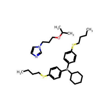 CC(C)OCCCn1ccnc1.CCCCSc1ccc(B(c2ccc(SCCCC)cc2)C2CCCCC2)cc1